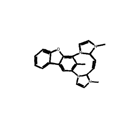 Cc1c2cc3c(oc4ccccc43)c1N1C=CN(C)C1/C=C\C1N(C)C=CN21